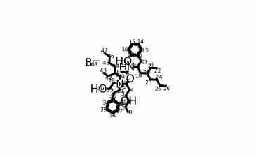 CCCCCC(OC(C)NC(Cc1ccccc1O)CC(CC)CCCC)[N+](CCO)(CCc1ccccc1O)CC(CC)CCCC.[Br-]